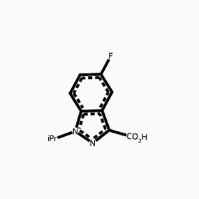 CC(C)n1nc(C(=O)O)c2cc(F)ccc21